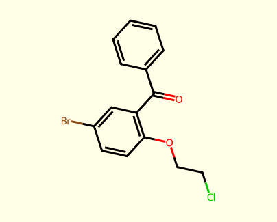 O=C(c1ccccc1)c1cc(Br)ccc1OCCCl